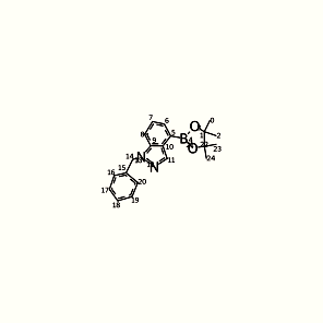 CC1(C)OB(c2cccc3c2cnn3Cc2ccccc2)OC1(C)C